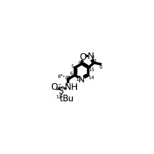 Cc1noc2cc([C@@H](C)N[S+]([O-])C(C)(C)C)ncc12